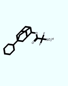 O=C(OC1C2CC3CC1CC(C1CCCCC1)(C3)C2)C(F)(F)S(=O)(=O)O